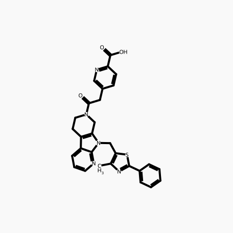 Cc1nc(-c2ccccc2)sc1Cn1c2c(c3cccnc31)CCN(C(=O)Cc1ccc(C(=O)O)nc1)C2